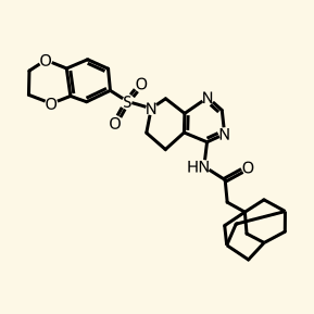 O=C(CC12CC3CC(CC(C3)C1)C2)Nc1ncnc2c1CCN(S(=O)(=O)c1ccc3c(c1)OCCO3)C2